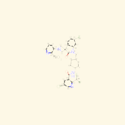 O=C(N[C@H]1CC[C@H](CN2C(=O)C3(CN(c4cccnc4[N+](=O)[O-])C3)c3ccc(F)cc32)CC1)c1cc(Cl)cnc1C(F)F